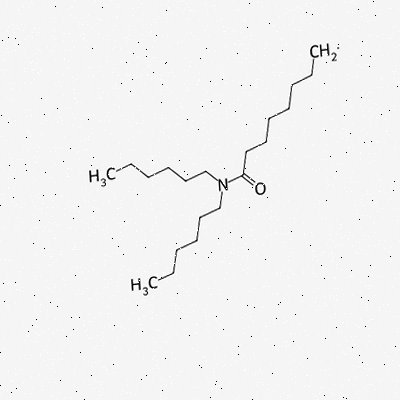 [CH2]CCCCCCC(=O)N(CCCCCC)CCCCCC